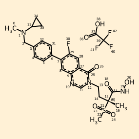 CN(Cc1ccc(-c2cc3ncn(CC[C@](C)(C(=O)NO)S(C)(=O)=O)c(=O)c3cc2F)cc1)C1CC1.O=C(O)C(F)(F)F